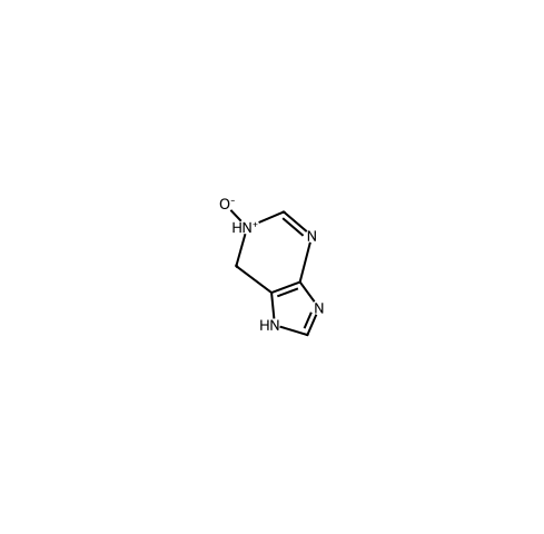 [O-][NH+]1C=Nc2nc[nH]c2C1